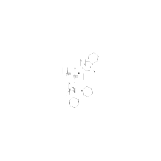 O=S(=O)(c1ccccc1-c1ccccc1)N1CC[C@H]2CN(c3cnc4ccccc4n3)[C@H]2C1